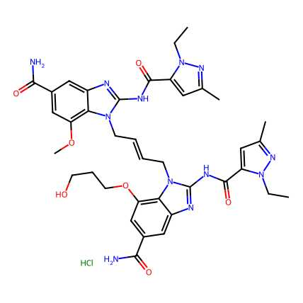 CCn1nc(C)cc1C(=O)Nc1nc2cc(C(N)=O)cc(OC)c2n1CC=CCn1c(NC(=O)c2cc(C)nn2CC)nc2cc(C(N)=O)cc(OCCCO)c21.Cl